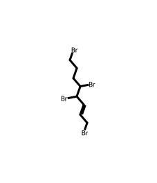 BrCC=CC(Br)C(Br)CCCBr